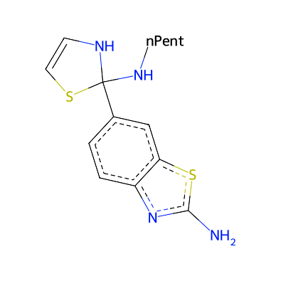 CCCCCNC1(c2ccc3nc(N)sc3c2)NC=CS1